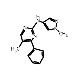 Cc1cnc(Nc2cnn(C)c2)nc1-c1ccccc1